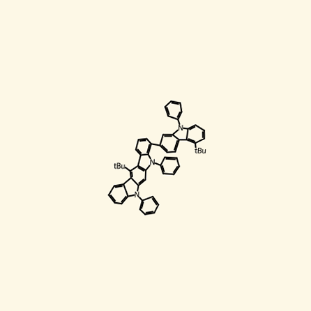 CC(C)(C)c1cccc2c1c1ccc(-c3cccc4c5c(C(C)(C)C)c6c7ccccc7n(-c7ccccc7)c6cc5n(-c5ccccc5)c34)cc1n2-c1ccccc1